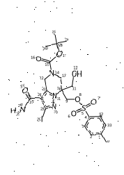 Cc1ccc(S(=O)(=O)OCC2(CO)CN(C(=O)OC(C)(C)C)Cc3c(C(N)=O)c(I)nn32)cc1